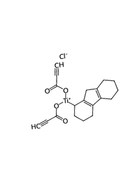 C#CC(=O)[O][Ti+]([O]C(=O)C#C)[CH]1CCCC2=C1CC1=C2CCCC1.[Cl-]